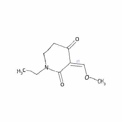 CCN1CCC(=O)/C(=C/OC)C1=O